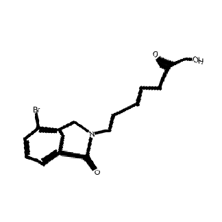 O=C(O)CCCCCN1Cc2c(Br)cccc2C1=O